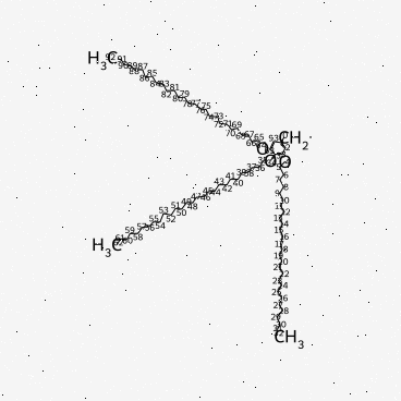 [CH2]c1cc(OCCCCCCCCCCCCCCCCCCCCCCCCCCCC)c(OCCCCCCCCCCCCCCCCCCCCCCCCCCCC)c(OCCCCCCCCCCCCCCCCCCCCCCCCCCCC)c1